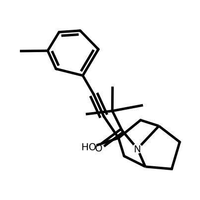 Cc1cccc(C#CC2(O)CC3CCC(C2)N3C(=O)C(C)(C)C)c1